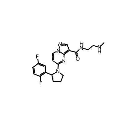 CNCCNC(=O)c1cnn2ccc(N3CCCC3c3cc(F)ccc3F)nc12